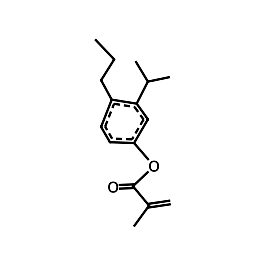 C=C(C)C(=O)Oc1ccc(CCC)c(C(C)C)c1